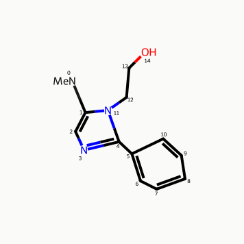 CNc1cnc(-c2ccccc2)n1CCO